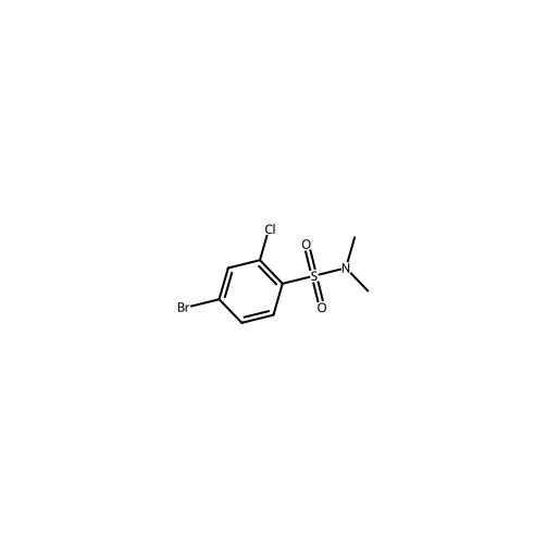 CN(C)S(=O)(=O)c1ccc(Br)cc1Cl